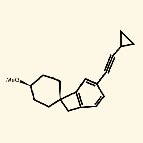 CO[C@H]1CC[C@]2(CC1)Cc1ccc(C#CC3CC3)cc12